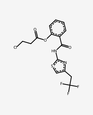 O=C(CCCl)Oc1ccccc1C(=O)Nc1nc(CC(F)(F)F)cs1